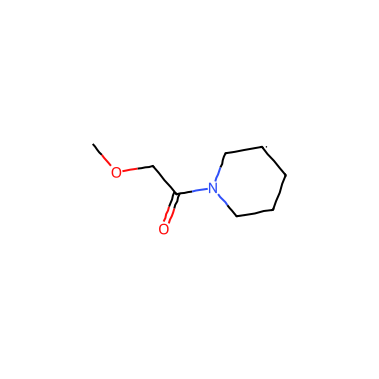 COCC(=O)N1C[CH]CCC1